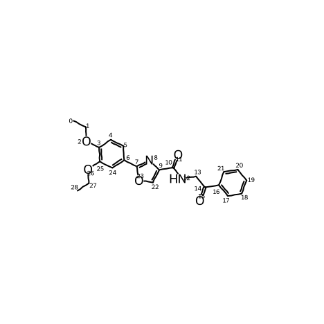 CCOc1ccc(-c2nc(C(=O)NCC(=O)c3ccccc3)co2)cc1OCC